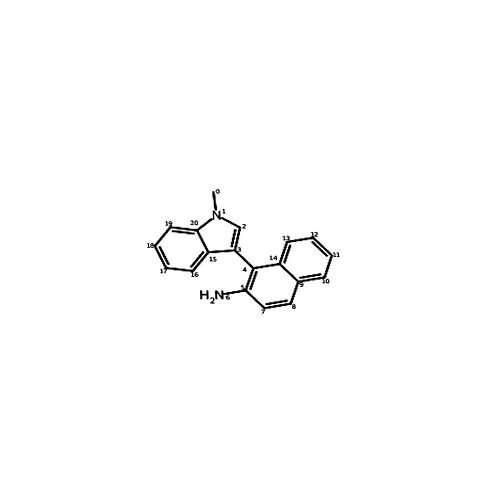 Cn1cc(-c2c(N)ccc3ccccc23)c2ccccc21